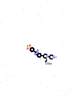 COCC[C@H]1CC(c2cc3c(cc2F)nc(-c2ccc(S(C)(=O)=O)cc2)n3C)CCN1C1CCNCC1